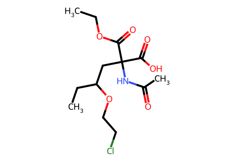 CCOC(=O)C(CC(CC)OCCCl)(NC(C)=O)C(=O)O